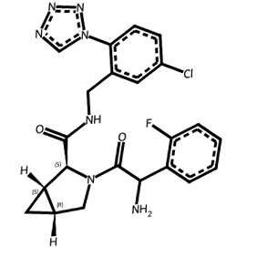 NC(C(=O)N1C[C@@H]2C[C@@H]2[C@H]1C(=O)NCc1cc(Cl)ccc1-n1cnnn1)c1ccccc1F